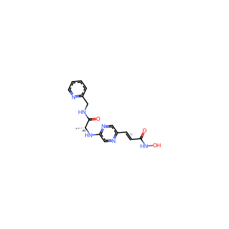 C[C@@H](Nc1cnc(/C=C/C(=O)NO)cn1)C(=O)NCc1ccccn1